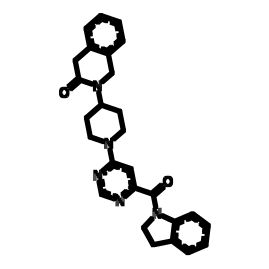 O=C(c1cc(N2CCC(N3Cc4ccccc4CC3=O)CC2)ncn1)N1CCc2ccccc21